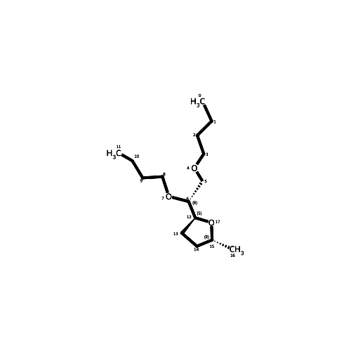 CCCCOC[C@@H](OCCCC)[C@@H]1CC[C@@H](C)O1